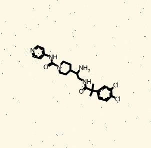 CC(C)(C(=O)NCC(N)C1CCN(C(=O)Nc2ccncc2)CC1)c1ccc(Cl)c(Cl)c1